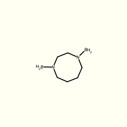 BN1CCCCN(B)CC1